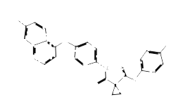 Bc1ccc2c(Oc3ccc(NC(=O)C4(C(=O)Nc5ccc(F)cc5)CC4)cc3)ccnc2c1